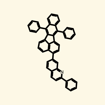 c1ccc(-c2ccc3ccc(-c4ccc5c6c(cccc46)-c4c-5c(-c5ccccc5)c5ccccc5c4-c4ccccc4)cc3n2)cc1